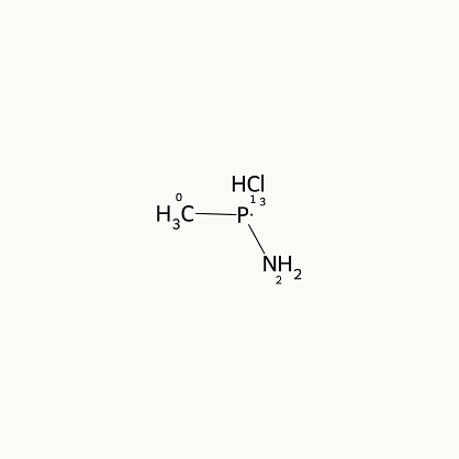 C[P]N.Cl